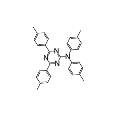 Cc1ccc(-c2nc(-c3ccc(C)cc3)nc(N(c3ccc(C)cc3)c3ccc(C)cc3)n2)cc1